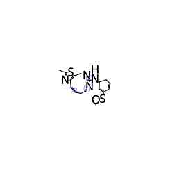 COSC1=CC(NC2=N/Cc3sc(C)nc3/C=C\C/C=N\2)CC=C1